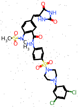 CN(c1ccc(/C=C2\NC(=O)NC2=O)cc1C(=O)Nc1ccc(S(=O)(=O)N2CCN(c3cc(Cl)cc(Cl)c3)CC2)cc1)S(C)(=O)=O